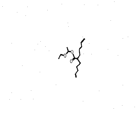 C=CCCCC(CCCC=C)C(=O)OC(C)OCC